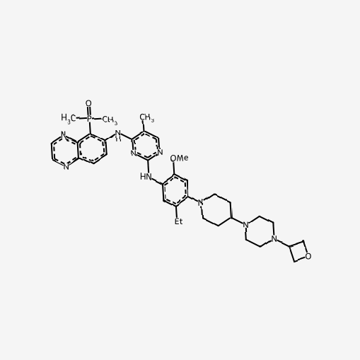 CCc1cc(Nc2ncc(C)c(Nc3ccc4nccnc4c3P(C)(C)=O)n2)c(OC)cc1N1CCC(N2CCN(C3COC3)CC2)CC1